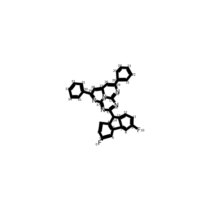 Fc1ccc2c(c1)-c1cc(F)ccc1C2C1=NC2=NC(c3ccccc3)=CC3=CC(c4ccccc4)=NC(=N1)N32